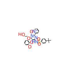 COc1ccccc1Oc1c(NS(=O)(=O)c2ccc(C(C)(C)C)cc2)nc(-c2cccc[n+]2[O-])nc1OCCO